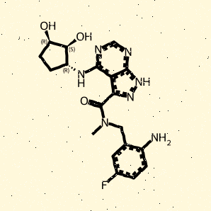 CN(Cc1cc(F)ccc1N)C(=O)c1n[nH]c2ncnc(N[C@@H]3CC[C@@H](O)[C@H]3O)c12